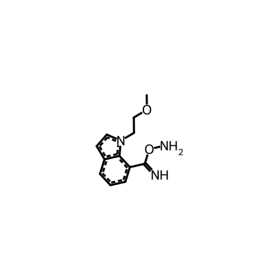 COCCn1ccc2cccc(C(=N)ON)c21